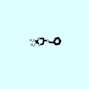 CC1(C)OCC(OCc2ccccc2)CO1